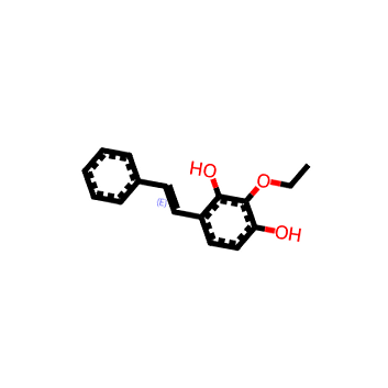 CCOc1c(O)ccc(/C=C/c2ccccc2)c1O